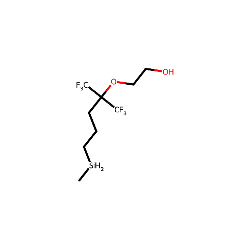 C[SiH2]CCCC(OCCO)(C(F)(F)F)C(F)(F)F